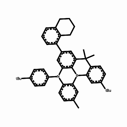 Cc1ccc2c(c1)B1c3cc(C(C)(C)C)ccc3C(C)(C)c3cc(-c4cccc5c4CCCC5)cc(c31)N2c1ccc(C(C)(C)C)cc1